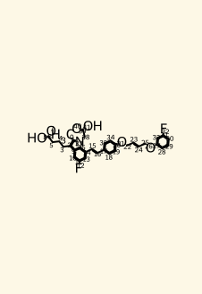 Cc1c(CCCC(=O)O)c2cc(F)cc(C=Cc3ccc(OCC=CCOc4cccc(F)c4)cc3)c2n1CC(=O)O